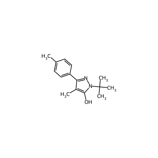 Cc1ccc(-c2nn(C(C)(C)C)c(O)c2C)cc1